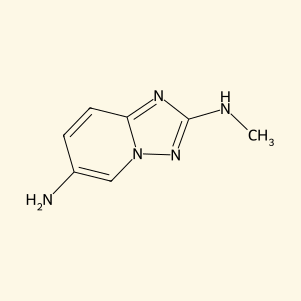 CNc1nc2ccc(N)cn2n1